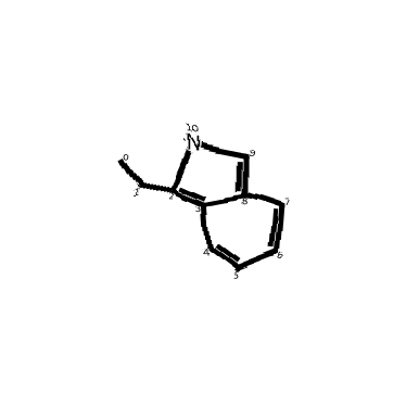 CCC1=c2ccccc2=C[N]1